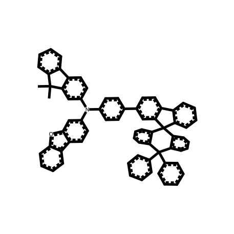 CC1(C)c2ccccc2-c2ccc(N(c3ccc(-c4ccc5c(c4)C4(c6ccccc6-5)c5ccccc5C(c5ccccc5)(c5ccccc5)c5ccccc54)cc3)c3ccc4c(c3)oc3ccccc34)cc21